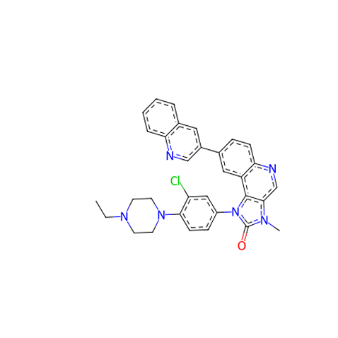 CCN1CCN(c2ccc(-n3c(=O)n(C)c4cnc5ccc(-c6cnc7ccccc7c6)cc5c43)cc2Cl)CC1